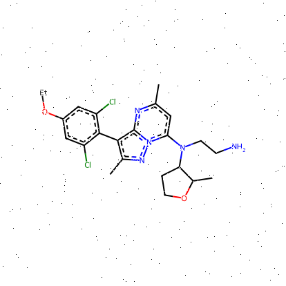 CCOc1cc(Cl)c(-c2c(C)nn3c(N(CCN)C4CCOC4C)cc(C)nc23)c(Cl)c1